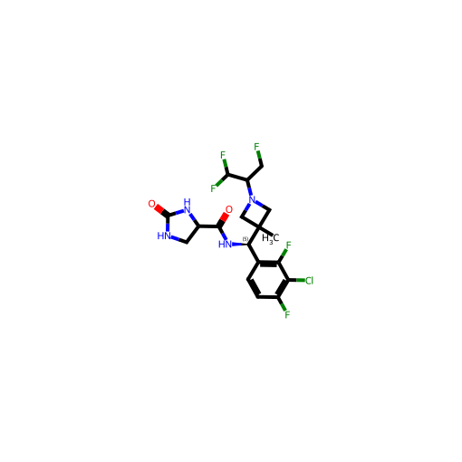 CC1([C@H](NC(=O)C2CNC(=O)N2)c2ccc(F)c(Cl)c2F)CN(C(CF)C(F)F)C1